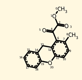 COC(=O)C(=O)c1c(C)ccc2c1Cc1ccccc1O2